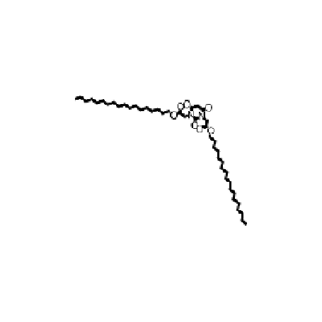 CCCCCCCCCCCCCCCCCCOC(=O)CN1C(=O)CC(=O)N(CC(=O)OCCCCCCCCCCCCCCCCCC)C1=O